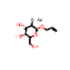 C=CCO[C@H]1OC(CO)[C@@H](O)[C@H](O)C1NC(C)=O